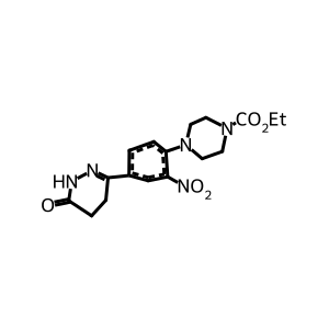 CCOC(=O)N1CCN(c2ccc(C3=NNC(=O)CC3)cc2[N+](=O)[O-])CC1